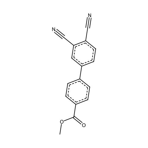 COC(=O)c1ccc(-c2ccc(C#N)c(C#N)c2)cc1